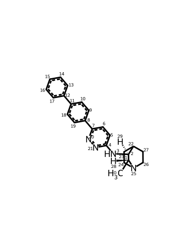 C[C@@H]1[C@@H](Nc2ccc(-c3ccc(-c4ccccc4)cc3)nn2)C2CCN1CC2